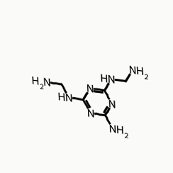 NCNc1nc(N)nc(NCN)n1